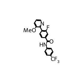 COc1cccnc1-c1ccc(C(=O)Nc2ccc(C(F)(F)F)cc2)cc1F